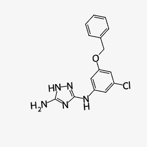 Nc1nc(Nc2cc(Cl)cc(OCc3ccccc3)c2)n[nH]1